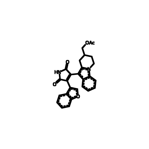 CC(=O)OCC1CCn2c(c(C3=C(c4coc5ccccc45)C(=O)NC3=O)c3ccccc32)C1